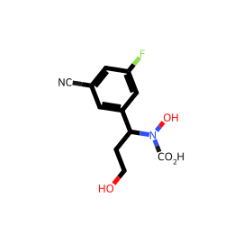 N#Cc1cc(F)cc(C(CCO)N(O)C(=O)O)c1